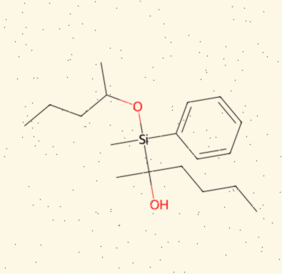 CCCCC(C)(O)[Si](C)(OC(C)CCC)c1ccccc1